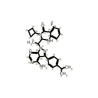 CC(C)c1ccc(-c2nn(C(C)C3Nc4cccc(F)c4C(=O)N3C3CCC3)c3ncnc(N)c23)cc1